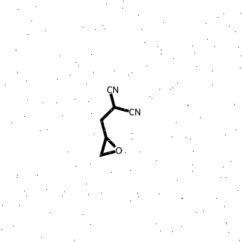 N#CC(C#N)CC1CO1